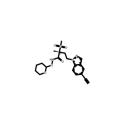 C#Cc1ccc2c(cnn2CC[C@](C)(C(=O)NOC2CCCCO2)S(C)(=O)=O)c1